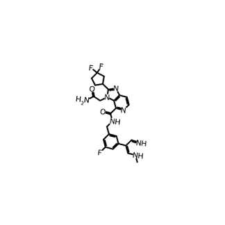 CN/C=C(\C=N)c1cc(F)cc(CNC(=O)c2nccc3nc(C4CCC(F)(F)C4)n(CC(N)=O)c23)c1